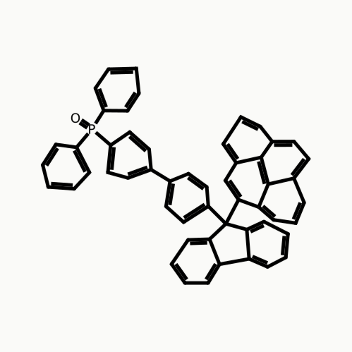 O=P(c1ccccc1)(c1ccccc1)c1ccc(-c2ccc(C3(c4cc5cccc6ccc7cccc4c7c65)c4ccccc4-c4ccccc43)cc2)cc1